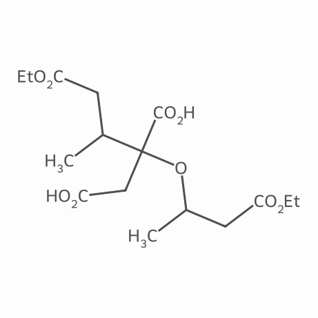 CCOC(=O)CC(C)OC(CC(=O)O)(C(=O)O)C(C)CC(=O)OCC